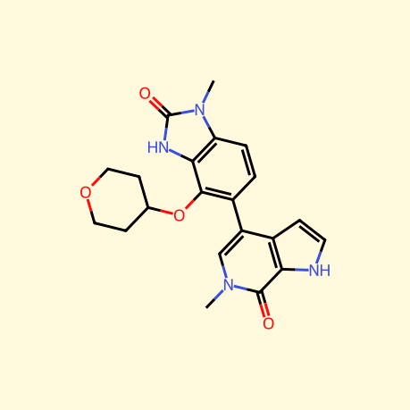 Cn1cc(-c2ccc3c([nH]c(=O)n3C)c2OC2CCOCC2)c2cc[nH]c2c1=O